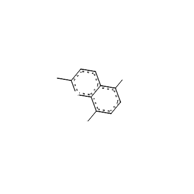 Cc1ccc2c(C(=O)O)ccc(Cl)c2n1